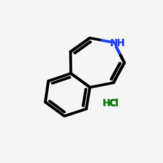 C1=Cc2ccccc2C=CN1.Cl